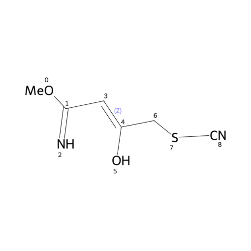 COC(=N)/C=C(\O)CSC#N